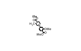 COC(=O)c1ccc(N2CCN(C(=O)OC(C)(C)C)[C@H](C)C2)cc1OC